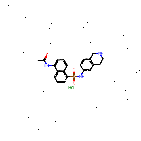 CC(=O)Nc1cccc2c(S(=O)(=O)Nc3ccc4c(c3)CCNC4)cccc12.Cl